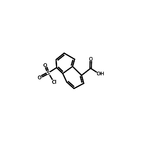 O=C(O)c1cccc2c(S(=O)(=O)Cl)cccc12